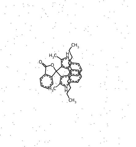 CCCCc1cccc2[nH]c(C)c(C3(c4c(C)[nH]c5cccc(CCCC)c45)OC(=O)c4ccccc43)c12